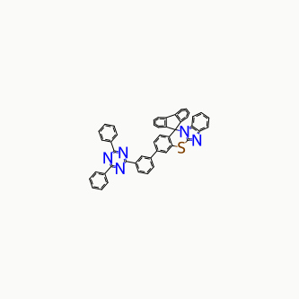 c1ccc(-c2nc(-c3ccccc3)nc(-c3cccc(-c4ccc5c(c4)Sc4nc6ccccc6n4C54c5ccccc5-c5ccccc54)c3)n2)cc1